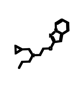 CCCN(CCOc1cc2ccccn2n1)CC1CC1